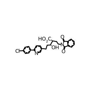 O=C(O)[C@@H](CCN1C(=O)c2ccccc2C1=O)[C@H](O)CCc1ccc(-c2ccc(Cl)cc2)nc1